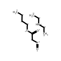 CCCCOC(=O)CP=O.CCNCC